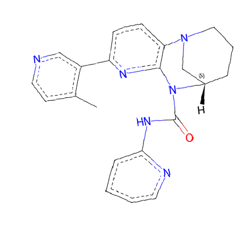 Cc1ccncc1-c1ccc2c(n1)N(C(=O)Nc1ccccn1)[C@H]1CCCN2C1